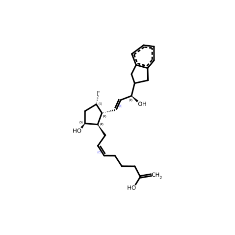 C=C(O)CCC/C=C\C[C@@H]1[C@@H](/C=C/[C@H](O)C2Cc3ccccc3C2)[C@@H](F)C[C@@H]1O